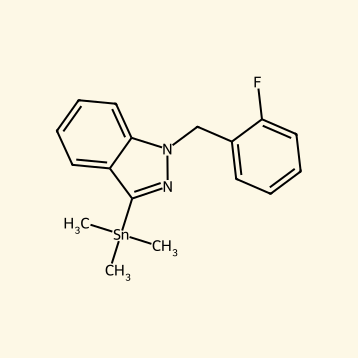 [CH3][Sn]([CH3])([CH3])[c]1nn(Cc2ccccc2F)c2ccccc12